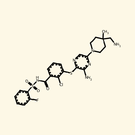 CC1(CN)CCN(c2cnc(Sc3cccc(C(=O)NS(=O)(=O)c4ccccc4F)c3Cl)c(N)n2)CC1